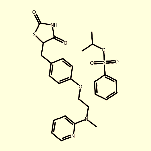 CC(C)OS(=O)(=O)c1ccccc1.CN(CCOc1ccc(CC2SC(=O)NC2=O)cc1)c1ccccn1